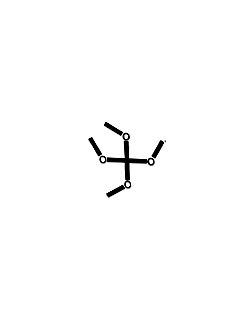 [CH2]OC(OC)(OC)OC